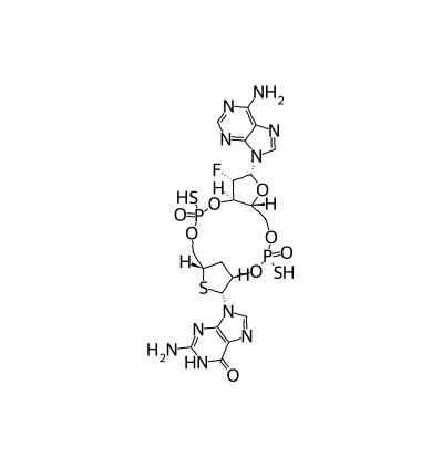 Nc1nc2c(ncn2[C@@H]2S[C@@H]3COP(=O)(S)O[C@H]4[C@H](F)[C@H](n5cnc6c(N)ncnc65)O[C@@H]4COP(=O)(S)O[C@@H]2C3)c(=O)[nH]1